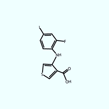 O=C(O)c1cscc1Nc1ccc(I)cc1F